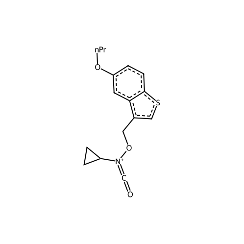 CCCOc1ccc2scc(CO[N+](=C=O)C3CC3)c2c1